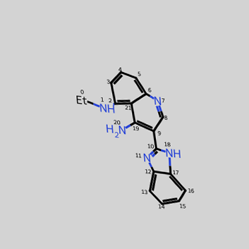 CCNc1cccc2ncc(-c3nc4ccccc4[nH]3)c(N)c12